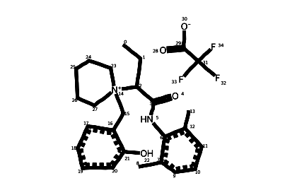 CCC(C(=O)Nc1c(C)cccc1C)[N+]1(Cc2ccccc2O)CCCCC1.O=C([O-])C(F)(F)F